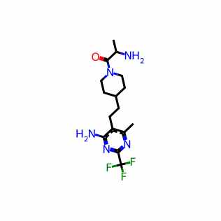 Cc1nc(C(F)(F)F)nc(N)c1CCC1CCN(C(=O)C(C)N)CC1